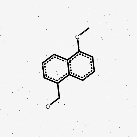 COc1cccc2c(C[O])cccc12